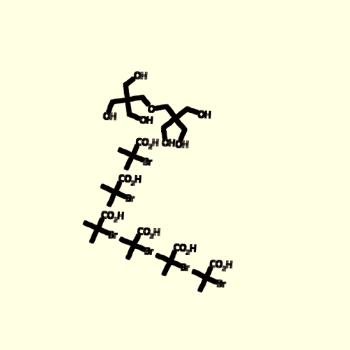 CC(C)(Br)C(=O)O.CC(C)(Br)C(=O)O.CC(C)(Br)C(=O)O.CC(C)(Br)C(=O)O.CC(C)(Br)C(=O)O.CC(C)(Br)C(=O)O.OCC(CO)(CO)COCC(CO)(CO)CO